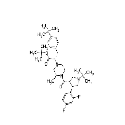 C[C@H]1CN([C@@H](Cc2ccc(C(C)(C)C)cc2)C(=O)OC(C)(C)C)CCN1C(=O)[C@@H]1CN(C(C)(C)C)C[C@H]1c1ccc(F)cc1F